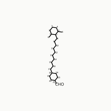 CC1CCCC(C)C1CCCCCCCCCCC1CCC(C=O)CC1